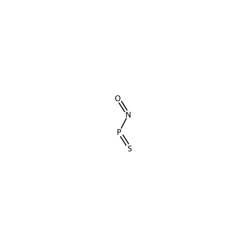 O=NP=S